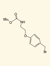 CC(C)(C)OC(=O)NCCOc1ccc(CBr)cc1